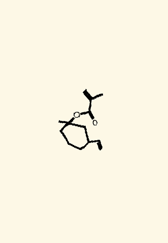 C=CC1CCCC(C)(OC(=O)C(=C)C)C1